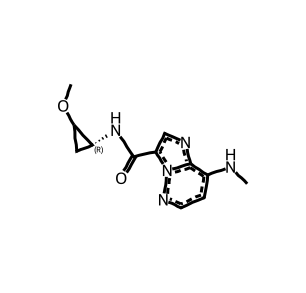 CNc1ccnn2c(C(=O)N[C@@H]3CC3OC)cnc12